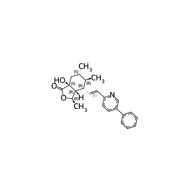 C[C@H]1[C@H](/C=C/c2ccc(-c3ccccc3)cn2)[C@@H]2[C@@H](C)OC(=O)[C@]2(O)C[C@@H]1C